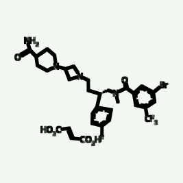 CN(C[C@@H](CCN1CC(N2CCC(C(N)=O)CC2)C1)c1ccc(F)cc1)C(=O)c1cc(Br)cc(C(F)(F)F)c1.O=C(O)C=CC(=O)O